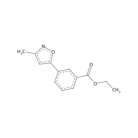 CCOC(=O)c1cccc(-c2cc(C)no2)c1